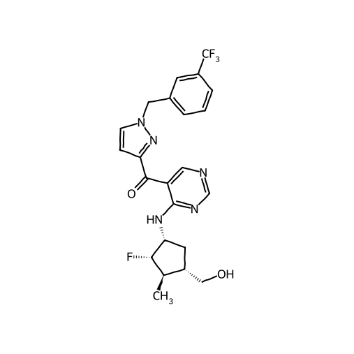 C[C@@H]1[C@@H](CO)C[C@@H](Nc2ncncc2C(=O)c2ccn(Cc3cccc(C(F)(F)F)c3)n2)[C@H]1F